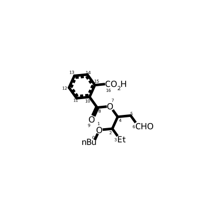 CCCCOC(CC)C(CC=O)OC(=O)c1ccccc1C(=O)O